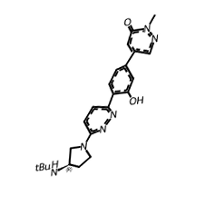 Cn1ncc(-c2ccc(-c3ccc(N4CC[C@@H](NC(C)(C)C)C4)nn3)c(O)c2)cc1=O